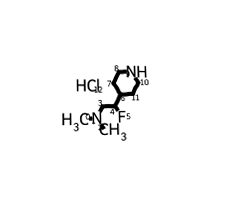 CN(C)CC(F)C1CCNCC1.Cl